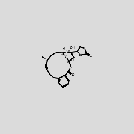 C[C@@H]1C=CCCc2ccccc2C(=O)O[C@@H]2C[C@@H](CC1)O[C@@](O)(C1CSC(=O)N1)C2